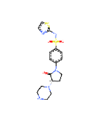 O=C1[C@@H](N2CCNCC2)CCN1c1ccc(S(=O)(=O)Nc2nccs2)cc1